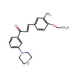 O=C(O)COc1ccc(/C=C/C(=O)c2cccc(N3CCNCC3)c2)cc1[N+](=O)[O-]